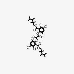 CC(C)C(C)C(C)(C)COC(=O)c1c(Cl)c(Cl)cc(Cl)c1OC(=O)C(=O)Oc1c(Cl)cc(Cl)c(Cl)c1C(=O)OCC(C)(C)C(C)C(C)C